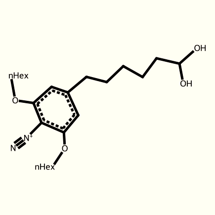 CCCCCCOc1cc(CCCCCC(O)O)cc(OCCCCCC)c1[N+]#N